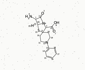 NC1C(=O)N2C(C(=O)O)C3(CCN(c4ccccc4)CC3)S[C@@H]12